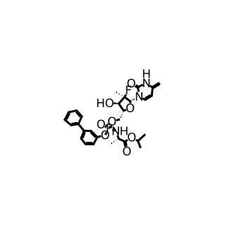 C=C1C=CN([C@@H]2O[C@H](COP(=O)(N[C@@H](C)C(=O)OC(C)C)Oc3cccc(-c4ccccc4)c3)[C@@H](O)[C@@]2(C)F)C(=O)N1